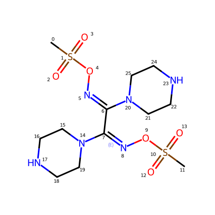 CS(=O)(=O)ON=C(/C(=N\OS(C)(=O)=O)N1CCNCC1)N1CCNCC1